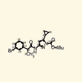 C[C@H](C(=O)Nc1cc(C2CC2)n(C(=O)OC(C)(C)C)n1)c1cccc(Br)c1